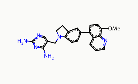 COc1ccc(-c2ccc3c(c2)CCN3Cc2cnc(N)nc2N)c2cccnc12